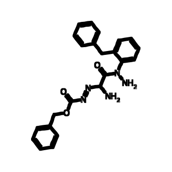 NC(N=NC(=O)OCc1ccccc1)C(=O)N(N)c1ccccc1Cc1ccccc1